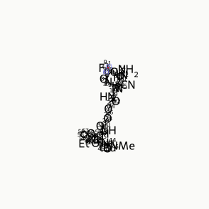 C/C=C\C(F)=C/C1C(=O)N(C)Cc2c(c(C#N)nn2CCNC(=O)CCOCCOCCC(=O)N[C@@H]2CC(C(=O)[C@@H](NC(=O)[C@H](C)NC)C(C)(C)C)[C@H](C(=O)N[C@H](CC)c3ccccc3)C2)-c2cnc(N)c(n2)O[C@@H]1C